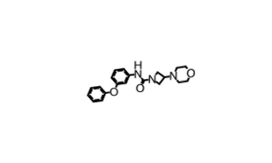 O=C(Nc1cccc(Oc2ccccc2)c1)N1CC(N2CCOCC2)C1